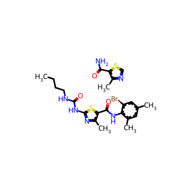 CCCCNC(=O)Nc1nc(C)c(C(=O)Nc2c(C)cc(C)cc2Br)s1.Cc1ncsc1C(N)=O